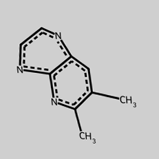 Cc1cc2nccnc2nc1C